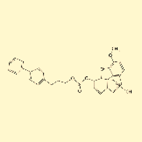 COc1ccc2c3c1OC1C(OS(=O)OCCCc4ccc(-c5ccccc5)cc4)C=CC4C(C2)N(C)CCC341